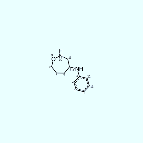 c1ccc(NC2CCCONC2)cc1